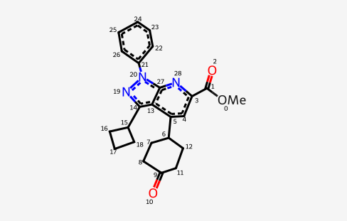 COC(=O)c1cc(C2CCC(=O)CC2)c2c(C3CCC3)nn(-c3ccccc3)c2n1